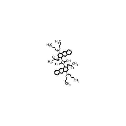 CCCCN(CCCC)c1cc(NC(C)=O)c(C2C(O)C(c3c(NC(C)=O)cc(N(CCCC)CCCC)c4cc5ccccc5cc34)C2O)c2cc3ccccc3cc12